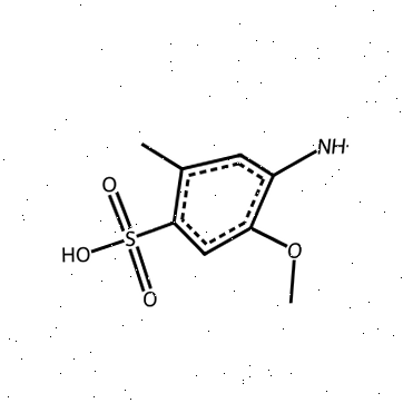 COc1cc(S(=O)(=O)O)c(C)cc1[NH]